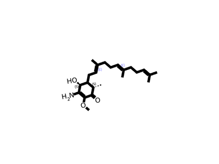 COC1=C(N)[C@@H](O)C(C/C=C(\C)CC/C=C(\C)CCC=C(C)C)[C@H](C)C1=O